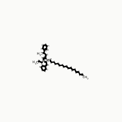 CCCCCCCCCCCCCCCCCC[n+]1c(CC(C)c2ccccc2)cn(CCC)c1Cc1ccccc1